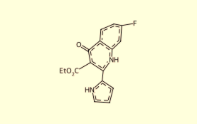 CCOC(=O)c1c(-c2ccc[nH]2)[nH]c2cc(F)ccc2c1=O